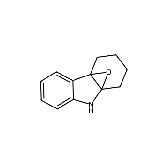 c1ccc2c(c1)NC13CCCCC21O3